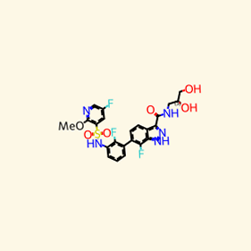 COc1ncc(F)cc1S(=O)(=O)Nc1cccc(-c2ccc3c(C(=O)NC[C@H](O)CO)n[nH]c3c2F)c1F